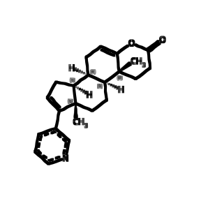 C[C@]12CCC(=O)OC1=CC[C@H]1[C@@H]2CC[C@]2(C)C(c3cccnc3)=CC[C@@H]12